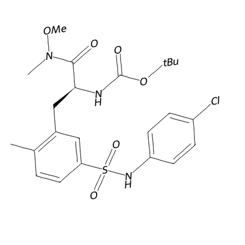 CON(C)C(=O)[C@H](Cc1cc(S(=O)(=O)Nc2ccc(Cl)cc2)ccc1C)NC(=O)OC(C)(C)C